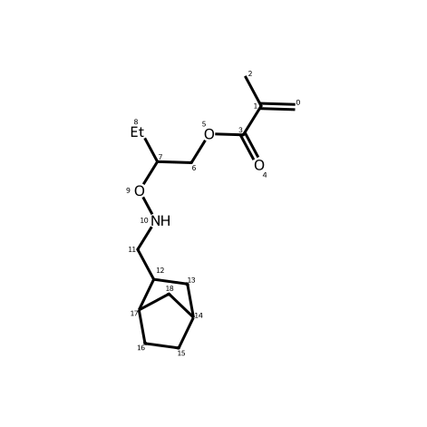 C=C(C)C(=O)OCC(CC)ONCC1CC2CCC1C2